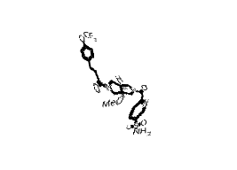 CO[C@@]12CN(C(=O)CCc3ccc(OC(F)(F)F)cc3)C[C@H]1CN(C(=O)c1ccc(S(N)(=O)=O)cn1)C2